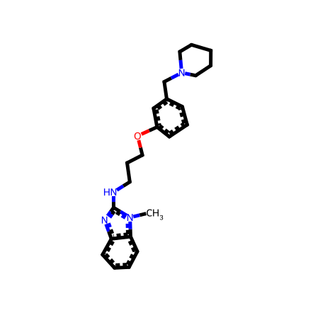 Cn1c(NCCCOc2cccc(CN3CCCCC3)c2)nc2ccccc21